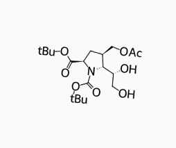 CC(=O)OC[C@@H]1C[C@H](C(=O)OC(C)(C)C)N(C(=O)OC(C)(C)C)[C@H]1[C@H](O)CO